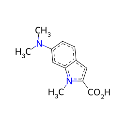 CN(C)c1ccc2cc(C(=O)O)n(C)c2c1